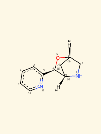 c1ccc([C@H]2O[C@@H]3CN[C@H]2C3)nc1